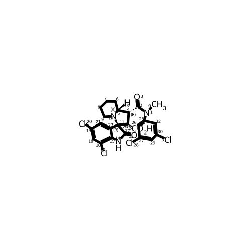 CN(C(=O)[C@H]1[C@H]2CCCCN2[C@]2(C(=O)Nc3c(Cl)cc(Cl)cc32)[C@H]1C(=O)O)c1cc(Cl)cc(Cl)c1